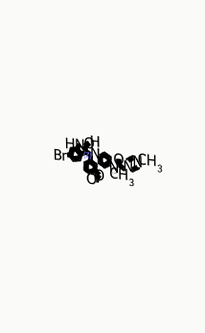 CN1CCN(CC(=O)N(C)c2ccc(N/C(=C3\C(=O)Nc4cc(Br)ccc43)c3ccc4c(c3)OCO4)cc2)CC1